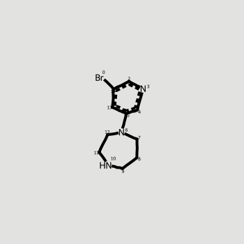 Brc1cncc(N2CCCNCC2)c1